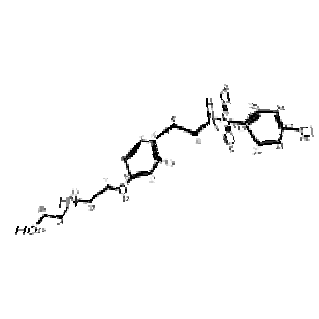 O=S(=O)(NCCc1ccc(OCCNCCO)cc1)c1ccc(Cl)cc1